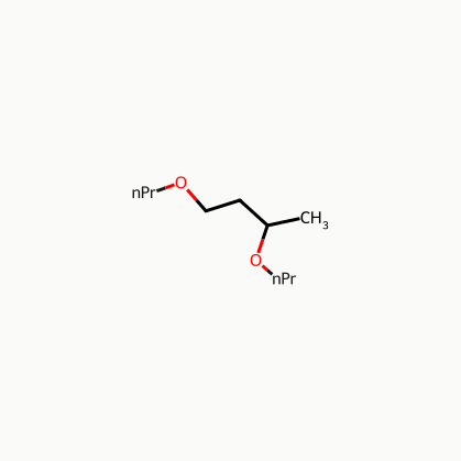 CCCOCCC(C)OCCC